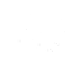 CC(C)(C)OC=O.NNc1ccccc1